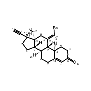 C#C[C@]1(O)CC[C@H]2[C@@H]3CCC4=CC(=O)CC[C@@H]4[C@H]3/C(=C/F)C[C@@]21CC